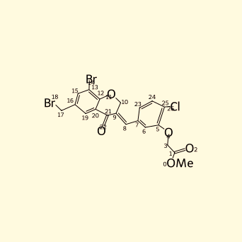 COC(=O)COc1cc(/C=C2\COc3c(Br)cc(CBr)cc3C2=O)ccc1Cl